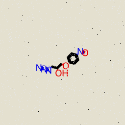 [N-]=[N+]=NC[C@H](O)COc1ccc(N=O)cc1